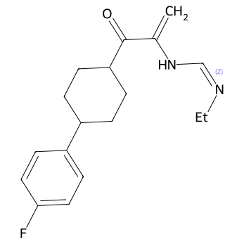 C=C(N/C=N\CC)C(=O)C1CCC(c2ccc(F)cc2)CC1